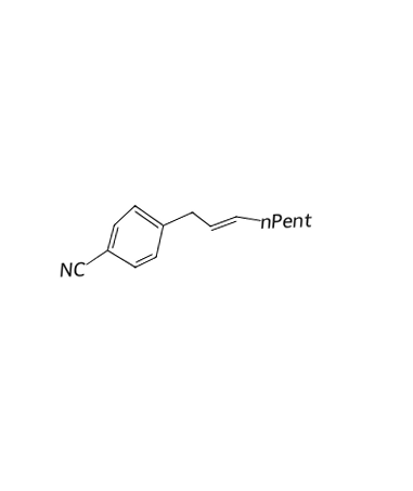 CCCCC/C=C/Cc1ccc(C#N)cc1